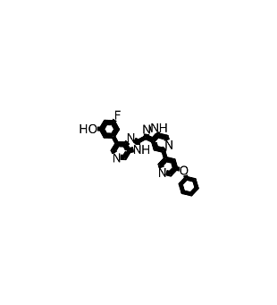 Oc1cc(F)cc(-c2cncc3[nH]c(-c4n[nH]c5cnc(-c6cncc(OC7CCCCC7)c6)cc45)nc23)c1